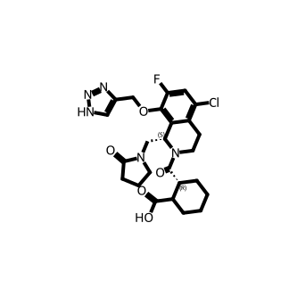 O=C(O)C1CCCC[C@H]1C(=O)N1CCc2c(Cl)cc(F)c(OCc3c[nH]nn3)c2[C@H]1CN1CCCC1=O